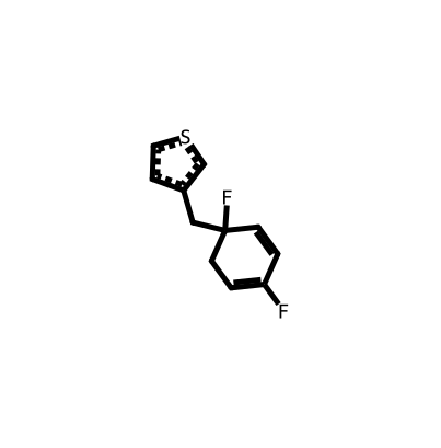 FC1=CCC(F)(Cc2ccsc2)C=C1